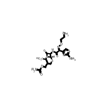 NCCON=C(C(=O)NC1C(=O)N2C(C(=O)O)=C(COC(N)=O)CS[C@@H]12)c1csc(N)n1